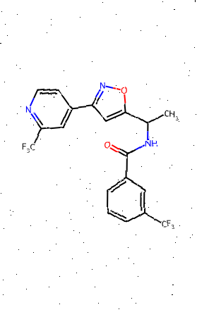 CC(NC(=O)c1cccc(C(F)(F)F)c1)c1cc(-c2ccnc(C(F)(F)F)c2)no1